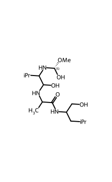 CO[C@H](O)NC(C(C)C)C(O)NC(C)C(=O)NC(CO)CC(C)C